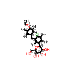 [2H]c1c([2H])c([C@]2([2H])O[C@H](CO)[C@@H](O)[C@H](O)[C@H]2O)c([2H])c(Cc2c([2H])c([2H])c(OCC)c([2H])c2[2H])c1Cl